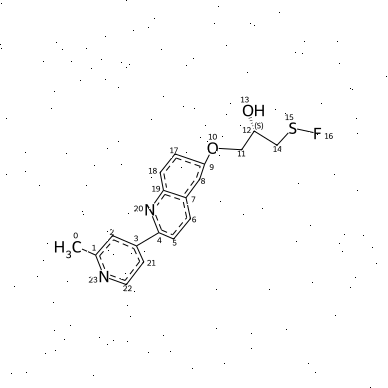 Cc1cc(-c2ccc3cc(OC[C@H](O)CSF)ccc3n2)ccn1